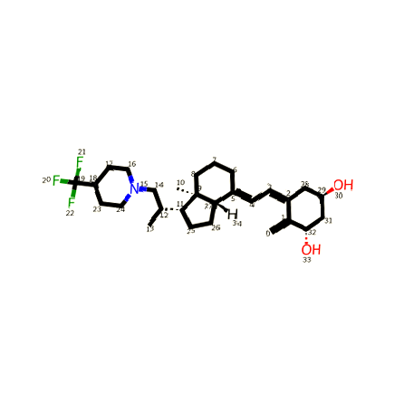 C=C1C(=CC=C2CCC[C@]3(C)[C@@H](C(C)CN4CCC(C(F)(F)F)CC4)CC[C@@H]23)C[C@@H](O)C[C@@H]1O